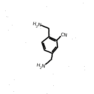 N#Cc1cc(CN)ccc1CN